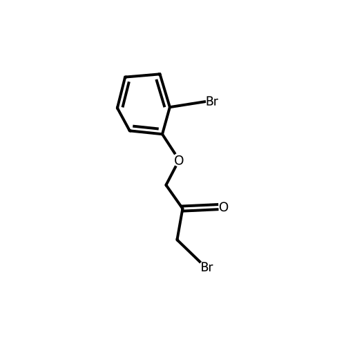 O=C(CBr)COc1ccccc1Br